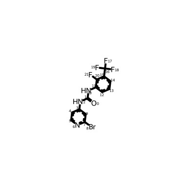 O=C(Nc1ccnc(Br)c1)Nc1cccc(C(F)(F)F)c1F